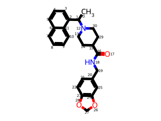 CC(c1cccc2ccccc12)N1CCC(C(=O)NCc2ccc3c(c2)OCO3)CC1